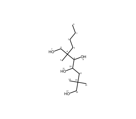 CCCCC(C)(CO)C(O)C(O)CC(C)(C)CO